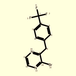 FC(F)(F)c1ccc(Cc2nccnc2Br)cc1